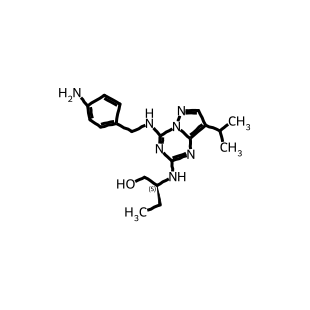 CC[C@@H](CO)Nc1nc(NCc2ccc(N)cc2)n2ncc(C(C)C)c2n1